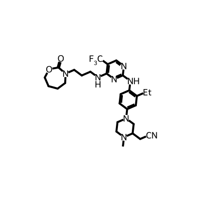 CCc1cc(N2CCN(C)C(CC#N)C2)ccc1Nc1ncc(C(F)(F)F)c(NCCCN2CCCCOC2=O)n1